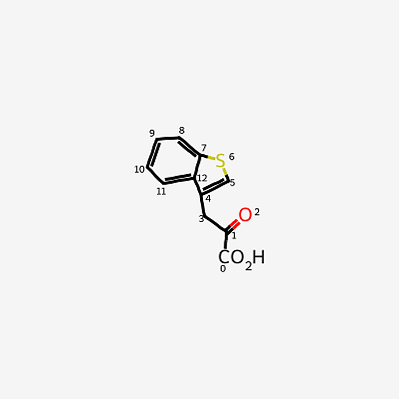 O=C(O)C(=O)Cc1csc2ccccc12